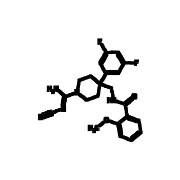 COc1ccccc1C(=O)NCC1(c2cc(F)cc(F)c2)CCN(/C(N)=N/C#N)CC1